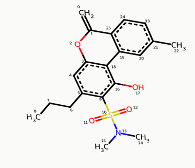 C=C1Oc2cc(CCC)c(S(=O)(=O)N(C)C)c(O)c2-c2cc(C)ccc21